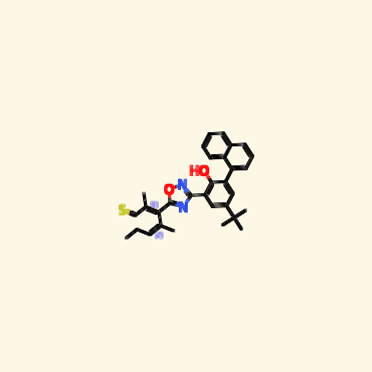 CC/C=C(C)\C(=C(\C)C=S)c1nc(-c2cc(C(C)(C)C)cc(-c3cccc4ccccc34)c2O)no1